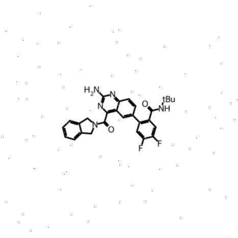 CC(C)(C)NC(=O)c1cc(F)c(F)cc1-c1ccc2nc(N)nc(C(=O)N3Cc4ccccc4C3)c2c1